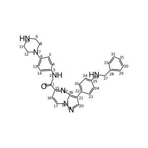 O=C(Nc1ccc(N2CCNCC2)cc1)c1ccn2ncc(-c3ccc(NCc4ccccc4)cc3)c2n1